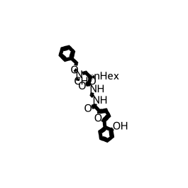 CCCCCC[C@H](CN(C=O)OCc1ccccc1)C(=O)NCNC(=O)c1ccc(-c2ccccc2O)o1